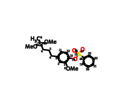 COc1cc(CCC[Si](C)(OC)OC)ccc1OS(=O)(=O)c1ccccc1